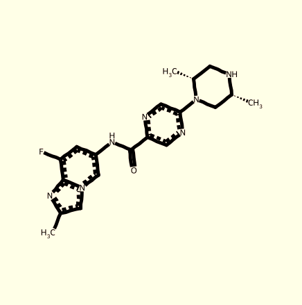 Cc1cn2cc(NC(=O)c3cnc(N4C[C@@H](C)NC[C@H]4C)cn3)cc(F)c2n1